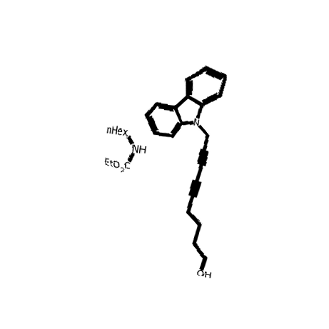 CCCCCCNC(=O)OCC.OCCCCC#CC#CCn1c2ccccc2c2ccccc21